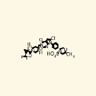 C[C@H]1CN(C(=O)O)[C@H](c2ccc(-n3c(Cl)cc4c(=O)n(CC5(O)CCN(C(=O)[C@@]6(C)C[C@@H]6C(F)F)CC5)cnc43)cc2)CO1